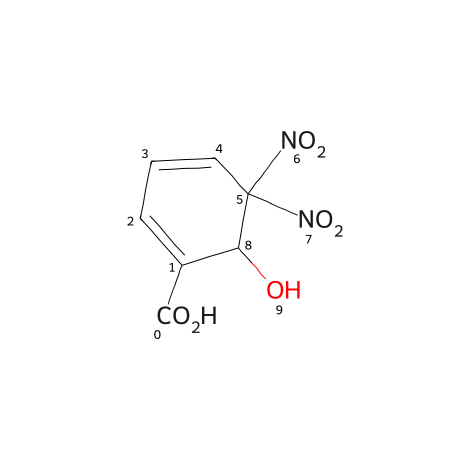 O=C(O)C1=CC=CC([N+](=O)[O-])([N+](=O)[O-])C1O